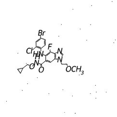 COCCn1cnc2c(F)c(Nc3ccc(Br)cc3Cl)c(C(=O)NOCC3CC3)cc21